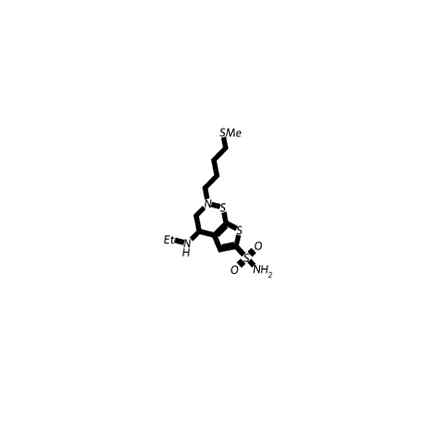 CCNC1CN(CCCCSC)Sc2sc(S(N)(=O)=O)cc21